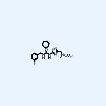 C1CCCCC1.CN(Cc1nsc(NC(=O)NCc2cccc(F)c2)n1)C(=O)O